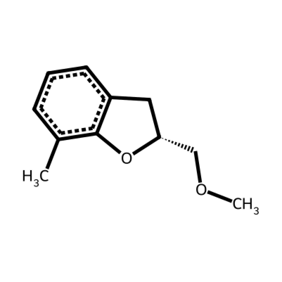 COC[C@H]1Cc2cccc(C)c2O1